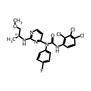 COC[C@H](C)Nc1nccc(N(C(=O)Nc2ccc(Cl)c(Cl)c2Cl)c2ccc(F)cc2)n1